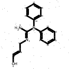 NC(=NCC=CO)N(c1ccccc1)c1ccccc1